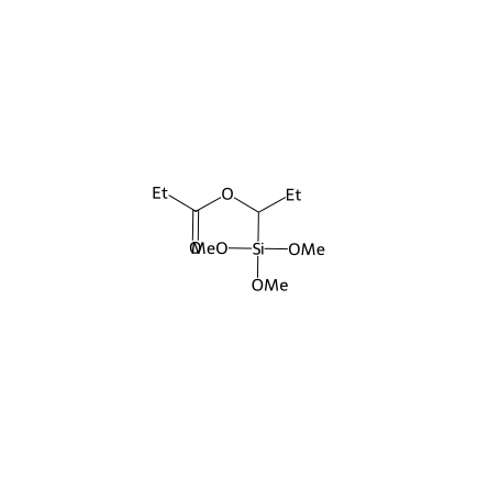 CCC(=O)OC(CC)[Si](OC)(OC)OC